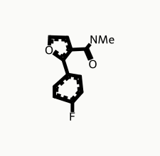 CNC(=O)c1ccoc1-c1ccc(F)cc1